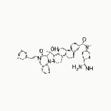 CN(C(=O)c1ccc2c(c1)=CCc1c3c(ccc1=2)=C(C(C)(O)C1Nc2ccccc2CN(C=Cc2ccccc2)C1=O)CCC3)c1ccc(C(=N)N)cc1